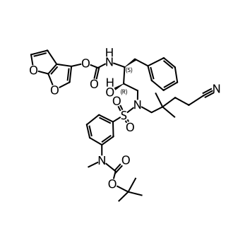 CN(C(=O)OC(C)(C)C)c1cccc(S(=O)(=O)N(C[C@@H](O)[C@H](Cc2ccccc2)NC(=O)Oc2coc3occc23)CC(C)(C)CCC#N)c1